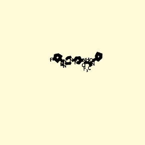 O=C(Nc1ccc(N2CCn3c(nnc3-c3cccc(F)c3)C2)nc1)c1oc(-c2ccccc2)nc1C(F)(F)F